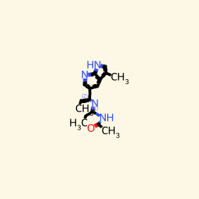 C/C=C(\N=C(/CC)NC(C)=O)c1cnc2[nH]cc(C)c2c1